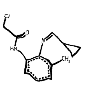 Cc1cccc(NC(=O)CCl)c1/N=C\C1CC1